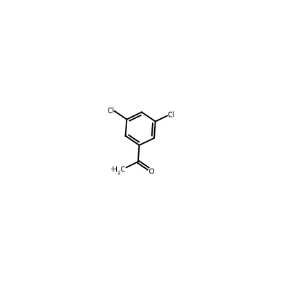 [CH2]C(=O)c1cc(Cl)cc(Cl)c1